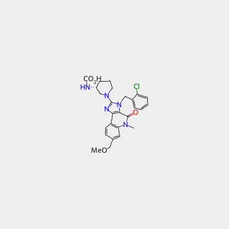 COCc1ccc2c3nc(N4CCC[C@@H](NC(=O)O)C4)n(Cc4ccccc4Cl)c3c(=O)n(C)c2c1